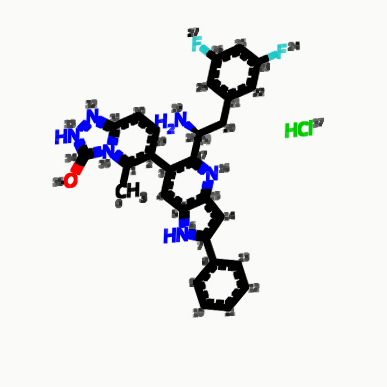 Cc1c(-c2cc3[nH]c(-c4ccccc4)cc3nc2[C@@H](N)Cc2cc(F)cc(F)c2)ccc2n[nH]c(=O)n12.Cl